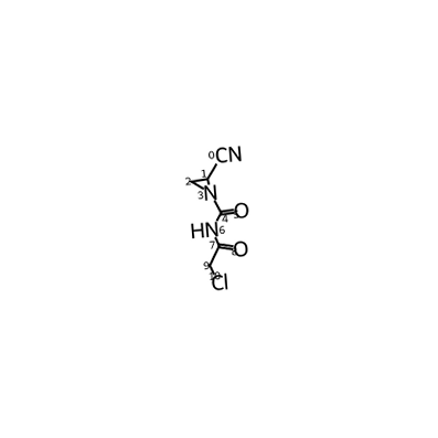 N#CC1CN1C(=O)NC(=O)CCl